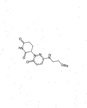 COCCNc1ccc(=O)n(C2CCC(=O)NC2=O)n1